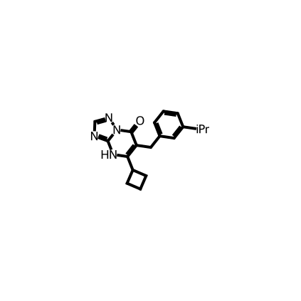 CC(C)c1cccc(Cc2c(C3CCC3)[nH]c3ncnn3c2=O)c1